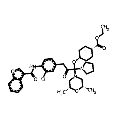 CCOC(=O)[C@H]1CC[C@H](OC(C(=O)Cc2ccc(NC(=O)c3coc4ccccc34)c(Cl)c2)(N2CCCC2)N2C[C@@H](C)O[C@@H](C)C2)CC1